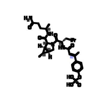 C/C(=C\C(=O)N[C@@H](CC(C)C)C(=O)N1C[C@H]2[C@@H](C)[C@H]2[C@H]1C(=O)N[C@H](C)CCC(N)=O)c1ccc(OP(=O)(O)O)cc1